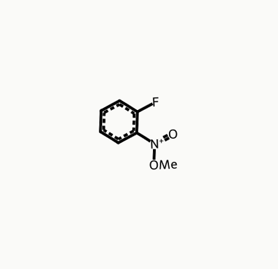 CO[N+](=O)c1ccccc1F